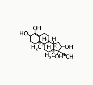 C#CC1(O)C(O)C[C@H]2[C@@H]3CCC4=C(O)C(O)CC[C@]4(C)[C@@H]3CC[C@@]21C